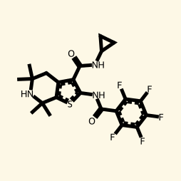 CC1(C)Cc2c(sc(NC(=O)c3c(F)c(F)c(F)c(F)c3F)c2C(=O)NC2CC2)C(C)(C)N1